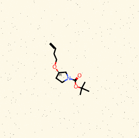 C=CCCO[C@@H]1CCN(C(=O)OC(C)(C)C)C1